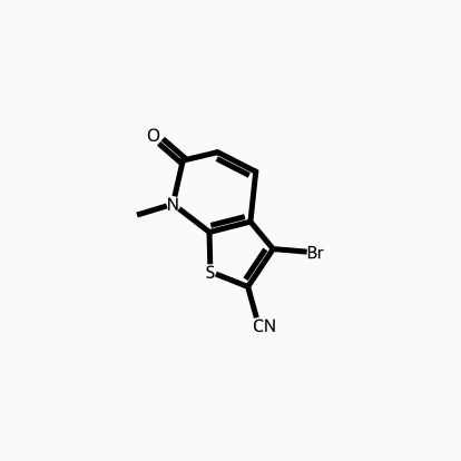 Cn1c(=O)ccc2c(Br)c(C#N)sc21